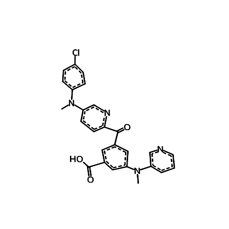 CN(c1ccc(Cl)cc1)c1ccc(C(=O)c2cc(C(=O)O)cc(N(C)c3cccnc3)c2)nc1